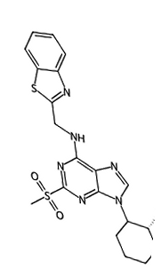 CS(=O)(=O)c1nc(NCc2nc3ccccc3s2)c2ncn(C3CCCC[C@H]3O)c2n1